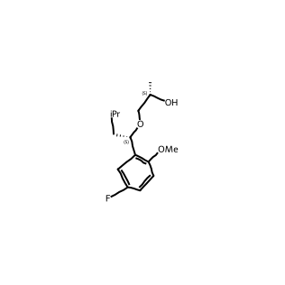 COc1ccc(F)cc1[C@H](CC(C)C)OC[C@H](C)O